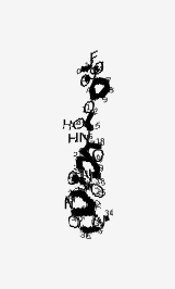 CC(F)S(=O)(=O)c1cccc(OCC(O)CN[C@H]2COC3(CCN(S(=O)(=O)c4cnc5c(c4)N(C)CCO5)CC3)C2)c1